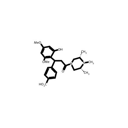 COc1cc(O)c(C(CC(=O)N2C[C@@H](C)N(C)[C@@H](C)C2)c2ccc(C(=O)O)cc2)c(OC)c1